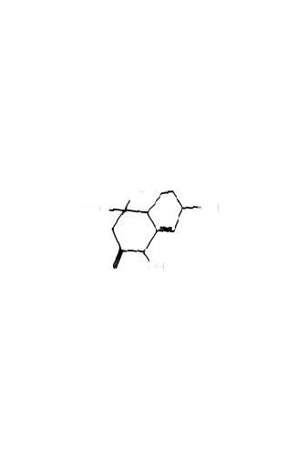 CC1C=C2C(O)C(=O)CC(C)(C)C2CC1